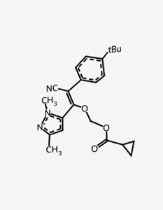 Cc1cc(/C(OCOC(=O)C2CC2)=C(\C#N)c2ccc(C(C)(C)C)cc2)n(C)n1